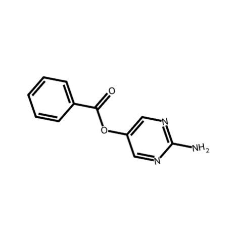 Nc1ncc(OC(=O)c2ccccc2)cn1